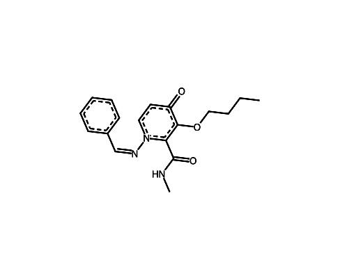 CCCCOc1c(C(=O)NC)n(/N=C\c2ccccc2)ccc1=O